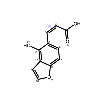 O=C(O)/C=C\c1ccc2occc2c1O